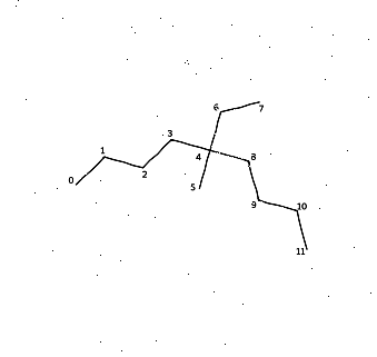 CCCCC(C)(CC)CCCC